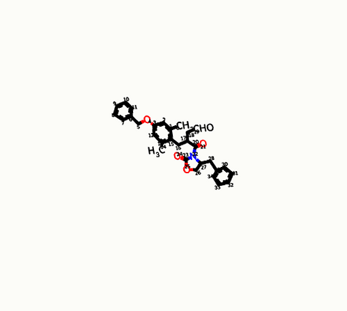 Cc1cc(OCc2ccccc2)cc(C)c1CC(CC=O)C(=O)N1C(=O)OCC1Cc1ccccc1